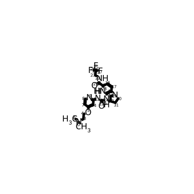 CN(C)CCOc1ccnc(NC(=O)N2C3=C(C=CC(C(=O)NCC(F)(F)F)N3)N3CC[C@H]2C3)c1